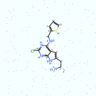 C[C@H](N)Cc1cc2c(NCc3cccs3)nc(Cl)nc2[nH]1